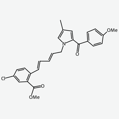 COC(=O)c1cc(Cl)ccc1C=CC=CCn1cc(C)cc1C(=O)c1ccc(OC)cc1